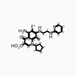 Nc1c(F)c(NCCNc2ccccn2)c(F)c2c1c(=O)c(C(=O)O)cn2C1CCCC1